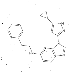 c1ccc(CCNc2ccc3ncn(-c4cc(C5CC5)[nH]n4)c3n2)nc1